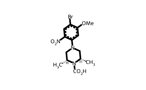 COc1cc(N2C[C@@H](C)N(C(=O)O)[C@@H](C)C2)c([N+](=O)[O-])cc1Br